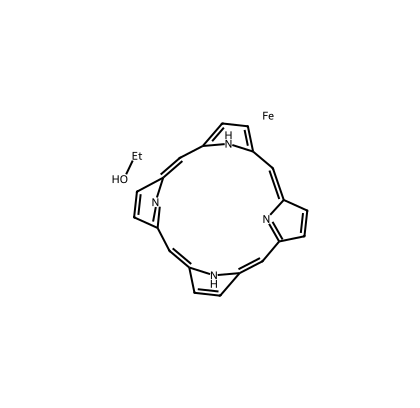 C1=Cc2cc3ccc(cc4nc(cc5ccc(cc1n2)[nH]5)C=C4)[nH]3.CCO.[Fe]